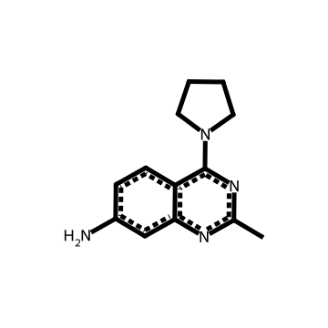 Cc1nc(N2CCCC2)c2ccc(N)cc2n1